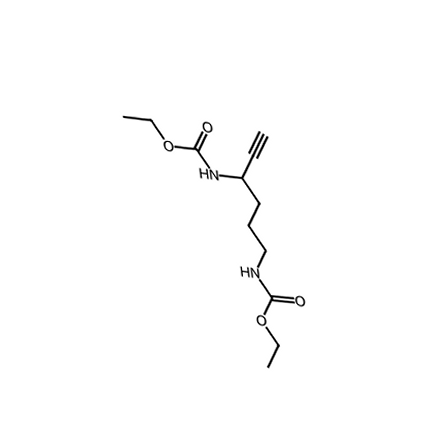 C#CC(CCCNC(=O)OCC)NC(=O)OCC